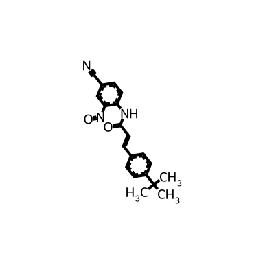 CC(C)(C)c1ccc(/C=C/C(=O)Nc2ccc(C#N)cc2N=O)cc1